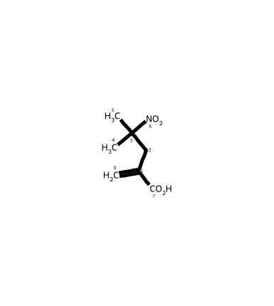 C=C(CC(C)(C)[N+](=O)[O-])C(=O)O